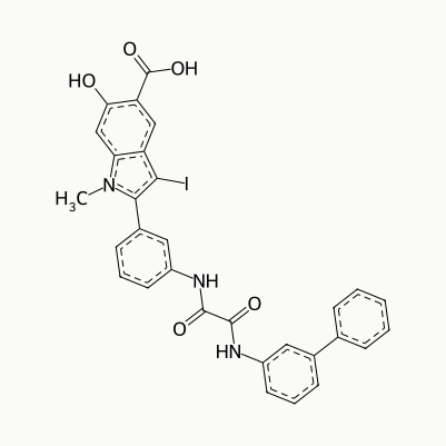 Cn1c(-c2cccc(NC(=O)C(=O)Nc3cccc(-c4ccccc4)c3)c2)c(I)c2cc(C(=O)O)c(O)cc21